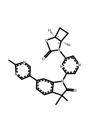 Cc1ncc(-c2ccc3c(c2)N(c2cncc(N4C(=O)O[C@H]5CC[C@H]54)n2)C(=O)C3(C)C)cn1